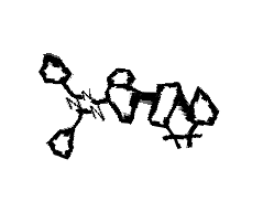 CC1(C)c2ccccc2-c2ccc(-c3ccc(-c4nc(-c5ccccc5)nc(-c5ccccc5)n4)c4ccccc34)cc2C1(C)C